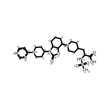 CS(=O)(=O)NC(CC1CCN(C2CCCC3C2OC(=O)N3C2CCN(c3ccncn3)CC2)CC1)C(=O)O